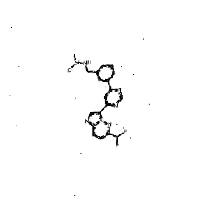 C[S+]([O-])NCc1cccc(-c2cc(-c3cnc4ccc(C(F)F)nn34)ncn2)c1